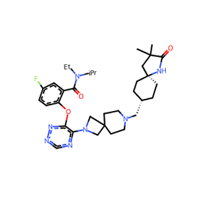 CCN(C(=O)c1cc(F)ccc1Oc1nncnc1N1CC2(CCN(C[C@H]3CC[C@]4(CC3)CC(C)(C)C(=O)N4)CC2)C1)C(C)C